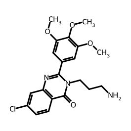 COc1cc(-c2nc3cc(Cl)ccc3c(=O)n2CCCN)cc(OC)c1OC